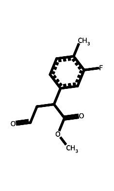 COC(=O)C(CC=O)c1ccc(C)c(F)c1